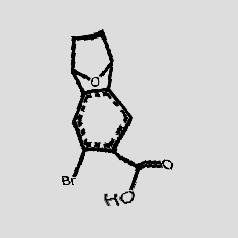 O=C(O)c1cc2c(cc1Br)C1CCC2O1